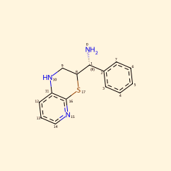 N[C@H](c1ccccc1)C1CNc2cccnc2S1